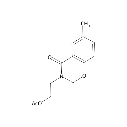 CC(=O)OCCN1COc2ccc(C)cc2C1=O